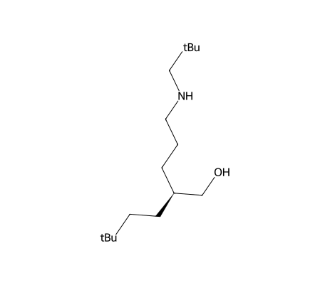 CC(C)(C)CC[C@H](CO)CCCNCC(C)(C)C